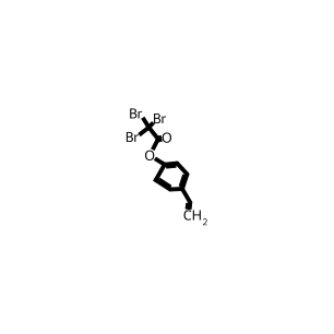 C=Cc1ccc(OC(=O)C(Br)(Br)Br)cc1